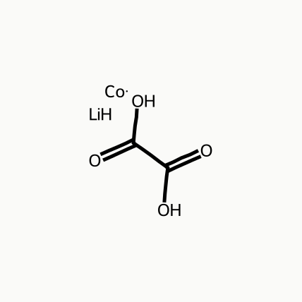 O=C(O)C(=O)O.[Co].[LiH]